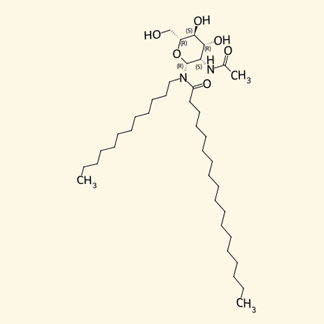 CCCCCCCCCCCCCCCCCC(=O)N(CCCCCCCCCCCC)[C@@H]1O[C@H](CO)[C@@H](O)[C@H](O)[C@@H]1NC(C)=O